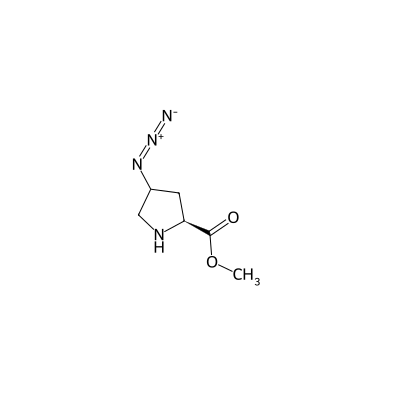 COC(=O)[C@@H]1CC(N=[N+]=[N-])CN1